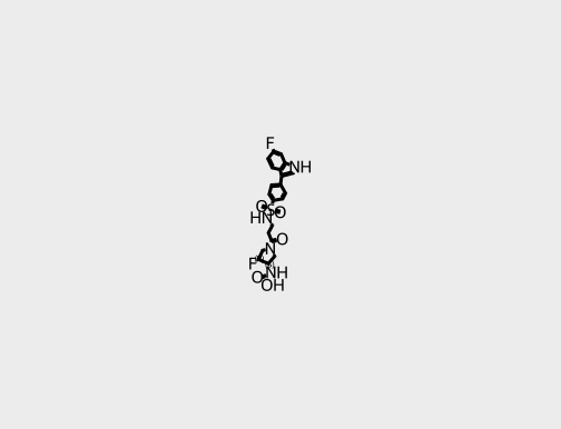 O=C(O)N[C@H]1CN(C(=O)CCNS(=O)(=O)c2ccc(-c3c[nH]c4cc(F)ccc34)cc2)C[C@H]1F